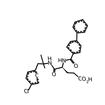 CC(C)(Cc1ccc(Cl)cc1)NC(=O)[C@H](CCC(=O)O)NC(=O)c1ccc(-c2ccccc2)cc1